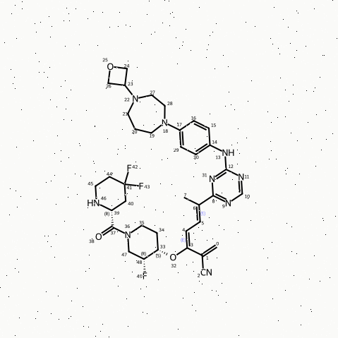 C=C(C#N)/C(=C\C=C(/C)c1ncnc(Nc2ccc(N3CCCN(C4COC4)CC3)cc2)n1)O[C@H]1CCN(C(=O)[C@H]2CC(F)(F)CCN2)C[C@H]1F